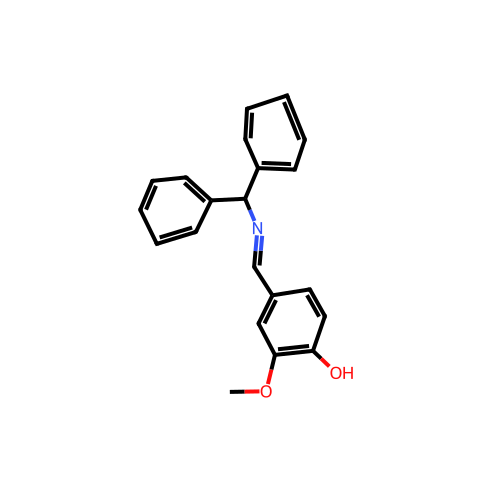 COc1cc(C=NC(c2ccccc2)c2ccccc2)ccc1O